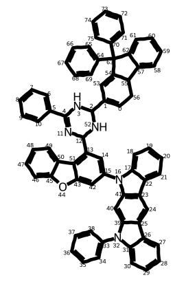 C1=C(C2NC(c3ccccc3)=NC(c3cc(-n4c5ccccc5c5cc6c7ccccc7n(-c7ccccc7)c6cc54)cc4oc5ccccc5c34)N2)C=C2C(C1)c1ccccc1C2(c1ccccc1)c1ccccc1